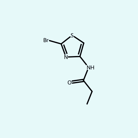 CCC(=O)Nc1csc(Br)n1